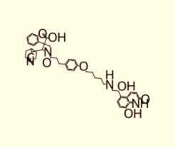 O=C(CCc1ccc(OCCCCCNCC(O)c2ccc(O)c3[nH]c(=O)ccc23)cc1)N1CC(C(=O)O)(c2ccccc2)C1C1CN2CCC1CC2